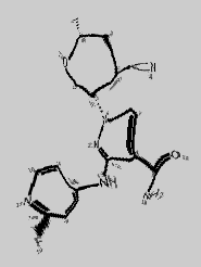 C[C@@H]1C[C@@H](C#N)[C@H](n2cc(C(N)=O)c(Nc3ccnc(F)c3)n2)CO1